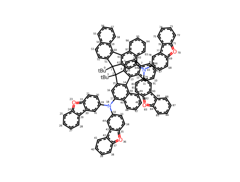 CC(C)(C)C1(C2(C(C)(C)C)c3ccc4ccccc4c3-c3c2cc(N(c2ccc4oc5ccccc5c4c2)c2ccc4oc5ccccc5c4c2)c2ccccc32)c2ccc3ccccc3c2-c2c1cc(N(c1ccc3oc4ccccc4c3c1)c1ccc3oc4ccccc4c3c1)c1ccccc21